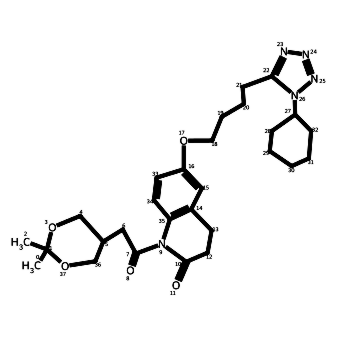 CC1(C)OCC(CC(=O)N2C(=O)CCc3cc(OCCCCc4nnnn4C4CCCCC4)ccc32)CO1